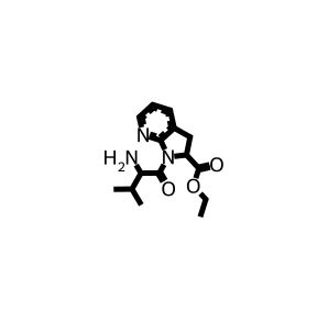 CCOC(=O)C1Cc2cccnc2N1C(=O)C(N)C(C)C